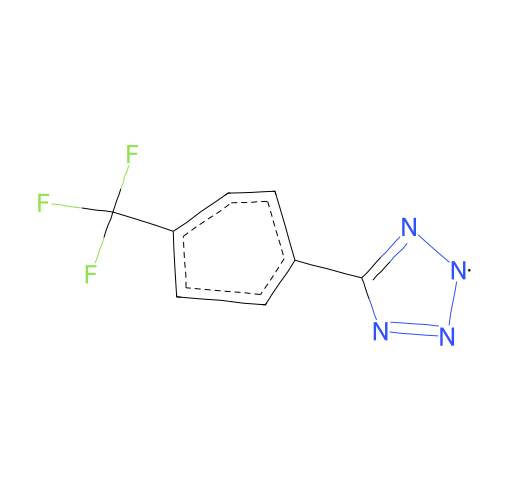 FC(F)(F)c1ccc(C2=N[N]N=N2)cc1